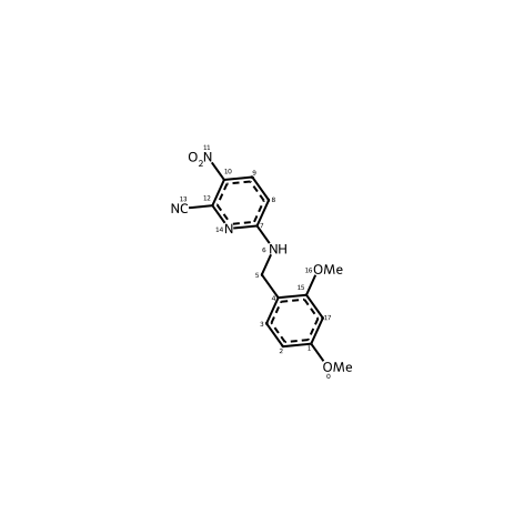 COc1ccc(CNc2ccc([N+](=O)[O-])c(C#N)n2)c(OC)c1